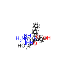 N=C(N)NCCC[C@H](C(=O)NCC(=O)O)N(Cc1ccc(O)cc1)C(=O)Cc1ccc(-c2ccccc2)cc1